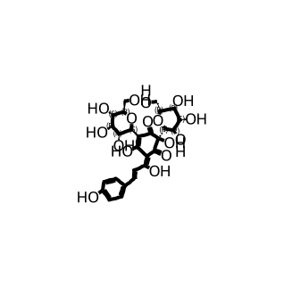 O=C1C(=C(O)C=Cc2ccc(O)cc2)C(O)=C([C@@H]2O[C@H](CO)[C@@H](O)[C@H](O)[C@H]2O)C(=O)C1(O)[C@@H]1O[C@H](CO)[C@@H](O)[C@H](O)[C@H]1O